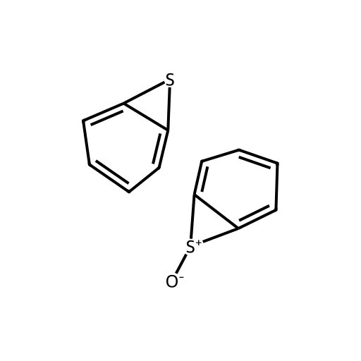 [O-][S+]1c2ccccc21.c1ccc2c(c1)S2